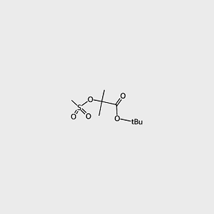 CC(C)(C)OC(=O)C(C)(C)OS(C)(=O)=O